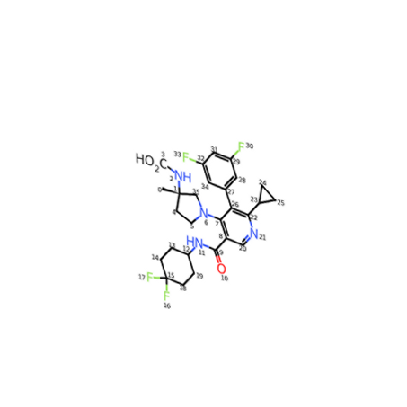 C[C@]1(NC(=O)O)CCN(c2c(C(=O)NC3CCC(F)(F)CC3)cnc(C3CC3)c2-c2cc(F)cc(F)c2)C1